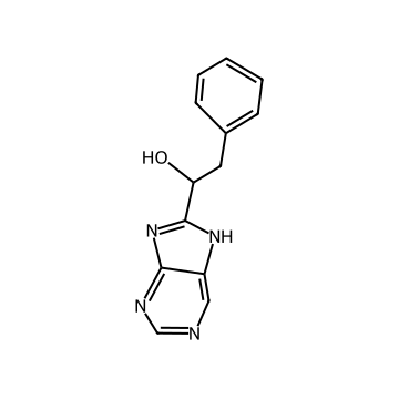 OC(Cc1ccccc1)c1nc2ncncc2[nH]1